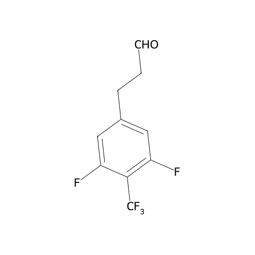 O=CCCc1cc(F)c(C(F)(F)F)c(F)c1